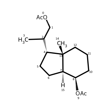 CC(=O)OCC(C)[C@H]1CC[C@@H]2[C@H](OC(C)=O)CCC[C@@]12C